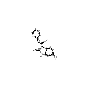 O=C(Nc1ccccn1)C1C(=O)Sc2cc(Cl)ccc21